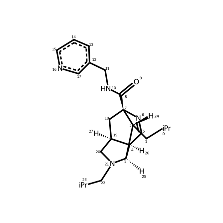 CC(C)C[C@@H]1[C@@H]2[C@@H]3C=N[C@@]1(C(=O)NCc1cccnc1)C[C@@H]3CN2CC(C)C